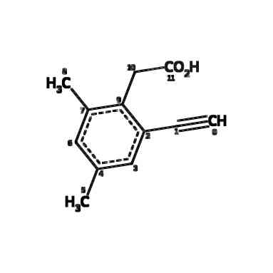 C#Cc1cc(C)cc(C)c1CC(=O)O